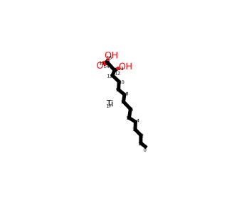 CCCCCCCCCCCCC(O)C(=O)O.[Ti]